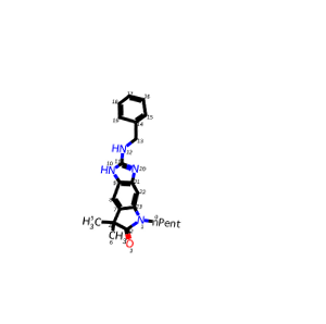 CCCCCN1C(=O)C(C)(C)c2cc3[nH]c(NCc4ccccc4)nc3cc21